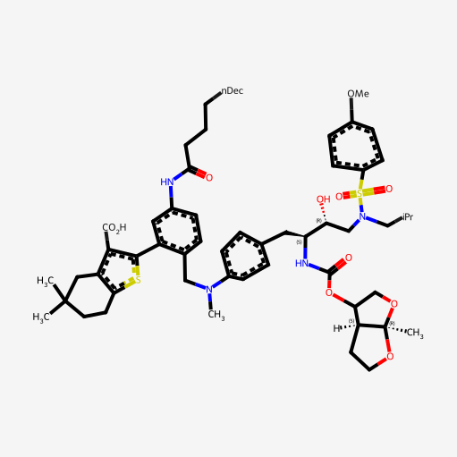 CCCCCCCCCCCCCC(=O)Nc1ccc(CN(C)c2ccc(C[C@H](NC(=O)OC3CO[C@@]4(C)OCC[C@@H]34)[C@H](O)CN(CC(C)C)S(=O)(=O)c3ccc(OC)cc3)cc2)c(-c2sc3c(c2C(=O)O)CC(C)(C)CC3)c1